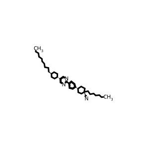 CCCCCCCCCC[C@H]1CC[C@H](c2cnc(-c3ccc([C@H]4CC[C@@](C#N)(CCCCCCC)CC4)cc3)nc2)CC1